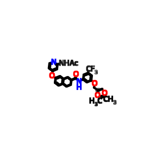 CC(=O)Nc1cc(Oc2ccc3c(c2)CC(C(=O)Nc2cc(OC[C@H]4COC(C)(C)O4)cc(C(F)(F)F)c2)CC3)ccn1